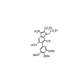 CCCCCCCCc1cc2c(N)c(C(=O)OCC)n(CC(=O)OCC)c2c(C#N)c1-c1cc(OC)c(OC)c(OC)c1